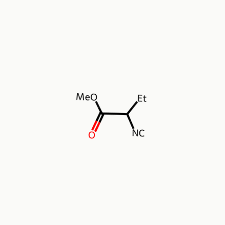 [C-]#[N+]C(CC)C(=O)OC